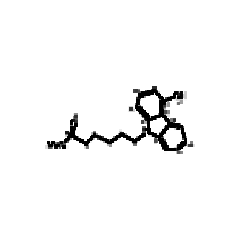 CNC(=O)CCCCCn1c2ccccc2c2c(O)cccc21